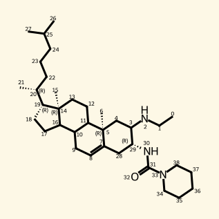 CCNC1C[C@@]2(C)C(=CCC3C2CC[C@@]2(C)C3CC[C@@H]2[C@H](C)CCCC(C)C)C[C@H]1NC(=O)N1CCCCC1